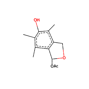 CC(=O)OC1OCc2c(C)c(O)c(C)c(C)c21